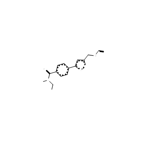 CCN(C)C(=N)c1ccc(-c2cc(CNC=O)on2)cc1